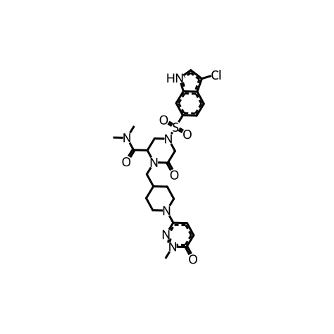 CN(C)C(=O)C1CN(S(=O)(=O)c2ccc3c(Cl)c[nH]c3c2)CC(=O)N1CC1CCN(c2ccc(=O)n(C)n2)CC1